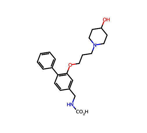 O=C(O)NCc1ccc(-c2ccccc2)c(OCCCN2CCC(O)CC2)c1